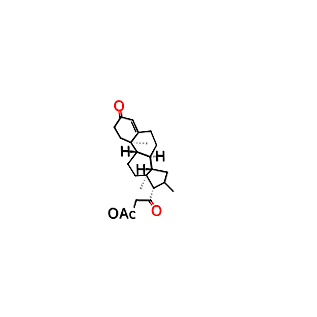 CC(=O)OCC(=O)[C@H]1C(C)C[C@H]2[C@@H]3CCC4=CC(=O)CC[C@]4(C)[C@H]3CC[C@]12C